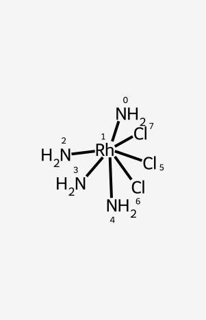 [NH2][Rh]([NH2])([NH2])([NH2])([Cl])([Cl])[Cl]